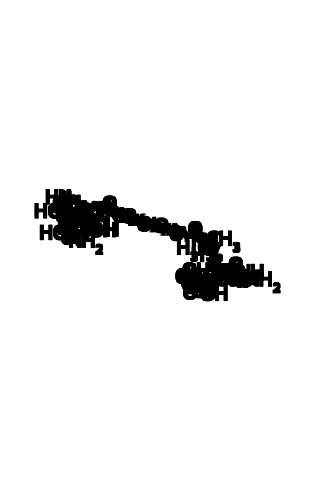 CC(C)(CNC(=O)CCOCCOCCOCCOCCNC(=O)c1ccc(-c2c3ccc(=N)c(S(=O)(=O)O)c-3oc3c(S(=O)(=O)O)c(N)ccc23)c(C(=O)O)c1)SSCOC1C[C@H](N2C=CC(N)NC2=O)O[C@@H]1COP(=O)(O)OP(=O)(O)OP(=O)(O)O